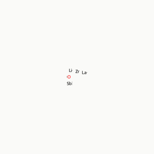 [La].[Li].[O].[Sb].[Zr]